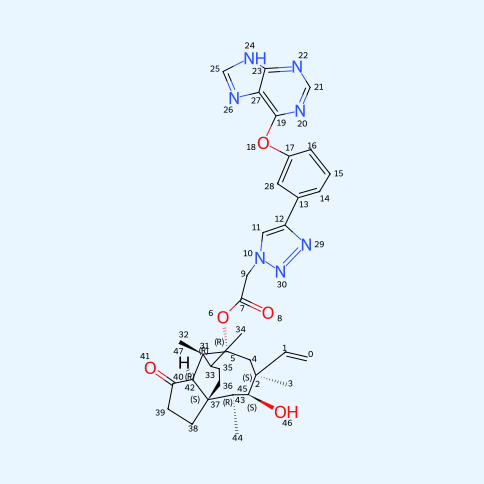 C=C[C@]1(C)C[C@@H](OC(=O)Cn2cc(-c3cccc(Oc4ncnc5[nH]cnc45)c3)nn2)[C@]2(C)C(C)CC[C@]3(CCC(=O)[C@H]32)[C@@H](C)[C@@H]1O